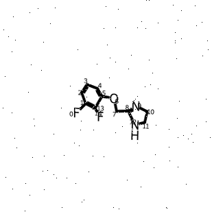 Fc1cccc(OCC2=NCCN2)c1F